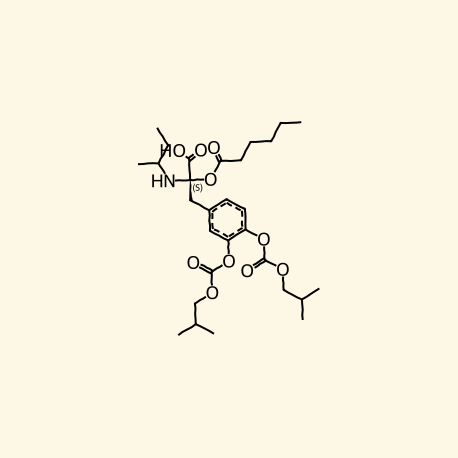 CCCCCC(=O)O[C@](Cc1ccc(OC(=O)OCC(C)C)c(OC(=O)OCC(C)C)c1)(NC(C)CC)C(=O)O